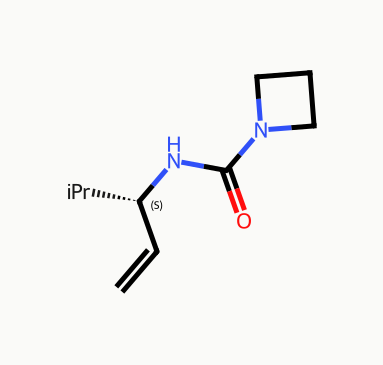 C=C[C@@H](NC(=O)N1CCC1)C(C)C